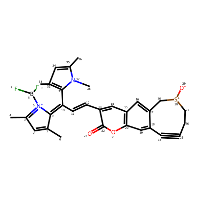 CC1=CC(C)=[N+](B(F)F)/C1=C(/C=C/c1cc2cc3c(cc2oc1=O)C#CCC[S+]([O-])C3)c1c(C)cc(C)n1C